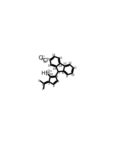 CC(C)=C1C=CC(C2c3ccccc3-c3ccccc32)=[C]1[Hf+2].[Cl-].[Cl-]